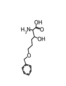 NC(C(=O)O)C(O)CCCOCc1ccccc1